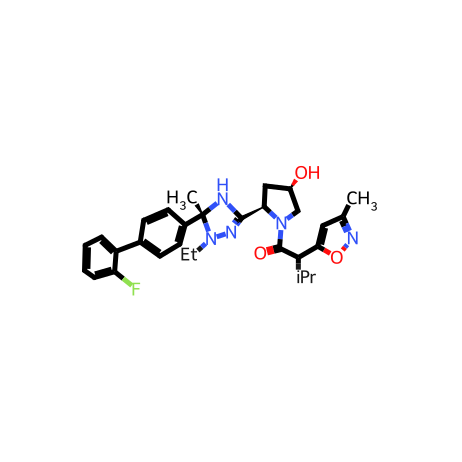 CCN1N=C([C@H]2C[C@@H](O)CN2C(=O)C(c2cc(C)no2)C(C)C)N[C@@]1(C)c1ccc(-c2ccccc2F)cc1